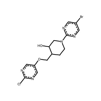 OC1CN(c2ncc(Br)cn2)CCC1COc1cnc(Cl)nc1